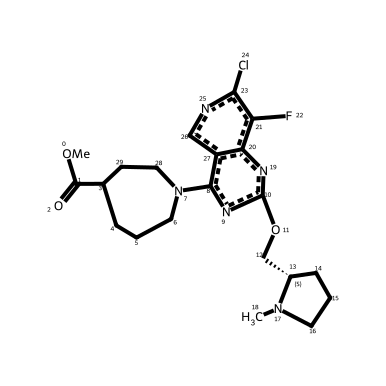 COC(=O)C1CCCN(c2nc(OC[C@@H]3CCCN3C)nc3c(F)c(Cl)ncc23)CC1